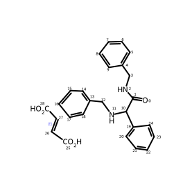 O=C(NCc1ccccc1)C(NCc1ccccc1)c1ccccc1.O=C(O)/C=C/C(=O)O